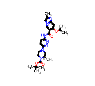 Cc1cn2cc(C(=O)Nc3ccc(N4CCN(C(=O)OC(C)(C)C)[C@@H](C)C4)nn3)c(OC(C)C)cc2n1